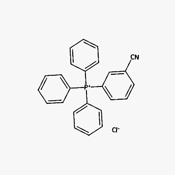 N#Cc1cccc([P+](c2ccccc2)(c2ccccc2)c2ccccc2)c1.[Cl-]